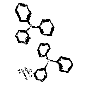 O=[N+]([O-])[O-].O=[N][Ni+].c1ccc(P(c2ccccc2)c2ccccc2)cc1.c1ccc(P(c2ccccc2)c2ccccc2)cc1